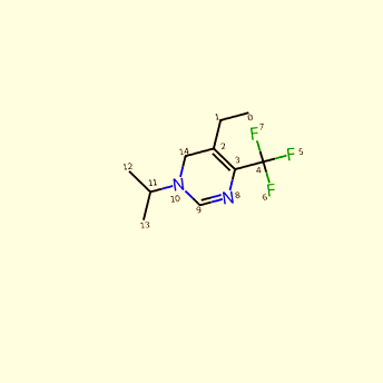 CCC1=C(C(F)(F)F)N=CN(C(C)C)C1